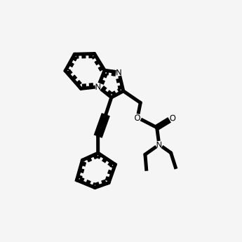 CCN(CC)C(=O)OCc1nc2ccccn2c1C#Cc1ccccc1